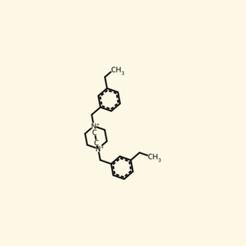 CCc1cccc(C[N+]23CC[N+](Cc4cccc(CC)c4)(CC2)CC3)c1